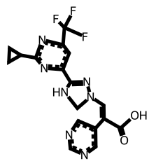 O=C(O)/C(=C/N1CNC(c2cc(C(F)(F)F)nc(C3CC3)n2)=N1)c1cncnc1